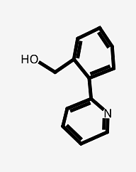 OCc1ccccc1-c1ccccn1